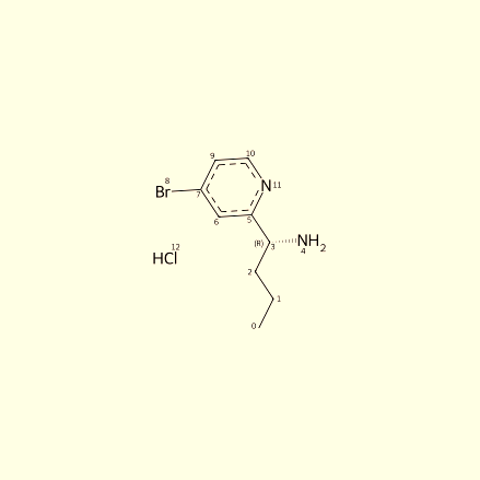 CCC[C@@H](N)c1cc(Br)ccn1.Cl